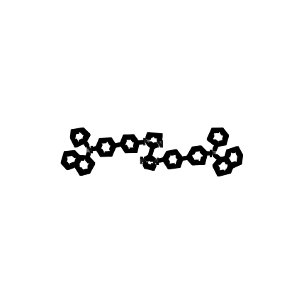 c1ccc(N(c2ccc(-c3ccc(-n4ccnc4-c4nccn4-c4ccc(-c5ccc(N(c6ccccc6)c6cccc7ccccc67)cc5)cc4)cc3)cc2)c2cccc3ccccc23)cc1